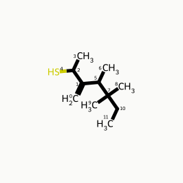 C=C(C(C)S)C(C)C(C)(C)CC